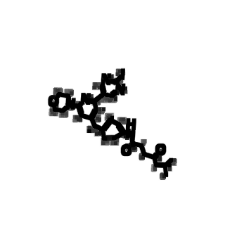 CC(C)=CC(=O)CCC(=O)Nc1ccc(Cc2cc(-c3cnc(I)nc3)nc(N3CCOCC3)c2)cc1